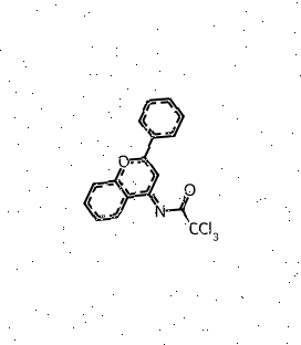 O=C(/N=c1\cc(-c2ccccc2)oc2ccccc12)C(Cl)(Cl)Cl